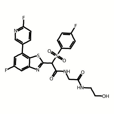 O=C(CNC(=O)C(c1nc2cc(F)cc(-c3ccc(F)nc3)c2s1)S(=O)(=O)c1ccc(F)cc1)NCCO